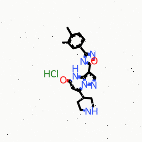 Cc1ccc(-c2noc(-c3cnn4c(C5CCNCC5)cc(=O)[nH]c34)n2)cc1C.Cl